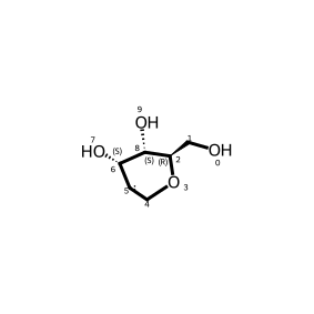 OC[C@H]1OC[C][C@H](O)[C@@H]1O